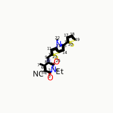 CCN1C(=O)C(C#N)=C(C)/C(=C/c2cc3c(cc(-c4cccs4)n3C)s2)C1=O